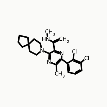 C=C(NC)c1nc(-c2cccc(Cl)c2Cl)c(C)nc1N1CCC2(CCCC2)CC1